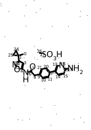 CC1(c2cc(NC(=O)Cc3ccc(-c4ccc(N)nc4)cc3)on2)CC1.CS(=O)(=O)O